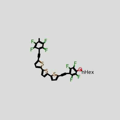 CCCCCCOc1c(F)c(F)c(C#Cc2ccc(-c3ccc(-c4ccc(C#Cc5c(F)c(F)c(C)c(F)c5F)s4)s3)s2)c(F)c1F